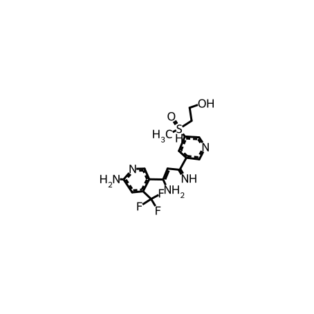 C[SH](=O)(CCO)c1cncc(C(=N)/C=C(\N)c2cnc(N)cc2C(F)(F)F)c1